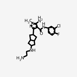 Cn1nc(C2CC3CC(NCCN)CC3C2)c(C(=O)Nc2ccc(F)c(Cl)c2)c1N